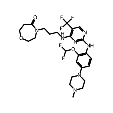 CN1CCN(c2ccc(Nc3ncc(C(F)(F)F)c(NCCCN4CCOCCC4=O)n3)c(OC(F)F)c2)CC1